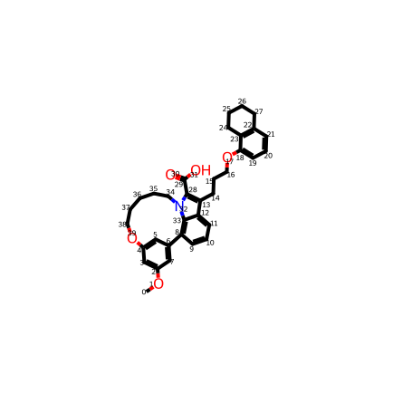 COc1cc2cc(c1)-c1cccc3c(CCCOc4cccc5c4CCCC5)c(C(=O)O)n(c13)CCCCCO2